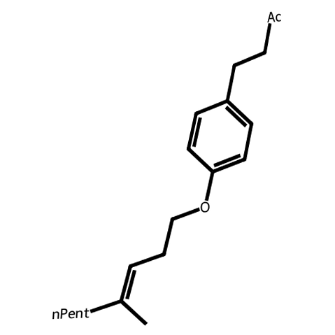 CCCCC/C(C)=C/CCOc1ccc(CCC(C)=O)cc1